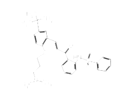 CN(C)CCCOc1ccc(C(C)(C)C)cc1C=CC(=O)c1ccccc1NS(=O)(=O)c1ccccc1